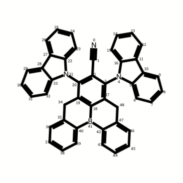 N#Cc1c(-n2c3ccccc3c3ccccc32)c2c3c(c1-n1c4ccccc4c4ccccc41)Cc1ccccc1B3c1ccccc1C2